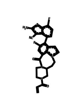 C=CC(=O)N1CCN2C(=O)c3cc(F)c(-c4ccc(F)c5sc(N)c(C#N)c45)c4ccn(c34)CCC2C1